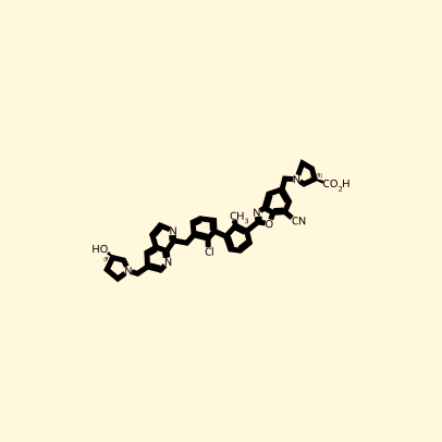 Cc1c(-c2nc3cc(CN4CC[C@@H](C(=O)O)C4)cc(C#N)c3o2)cccc1-c1cccc(Cc2nccc3cc(CN4CC[C@@H](O)C4)cnc23)c1Cl